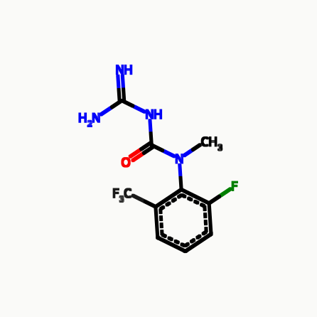 CN(C(=O)NC(=N)N)c1c(F)cccc1C(F)(F)F